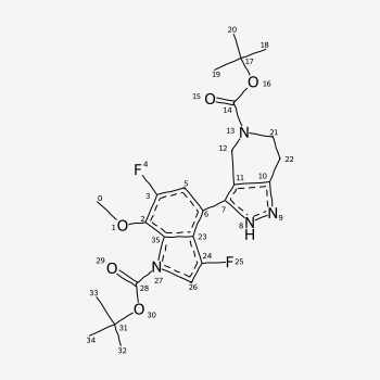 COc1c(F)cc(-c2[nH]nc3c2CN(C(=O)OC(C)(C)C)CC3)c2c(F)cn(C(=O)OC(C)(C)C)c12